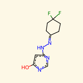 Oc1cc(NN=C2CCC(F)(F)CC2)ncn1